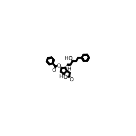 O=C1C[C@@H]2[C@@H](C=C[C@H](O)CCc3ccccc3)[C@H](OC(=O)c3ccccc3)C[C@@H]2O1